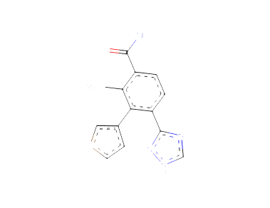 COc1c(C(N)=O)ccc(-c2nc[nH]n2)c1-c1ccsc1